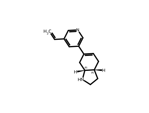 C=Cc1cncc(C2=CC[C@@H]3CCN[C@@H]3C2)c1